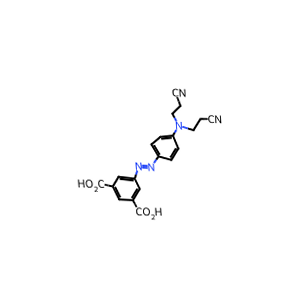 N#CCCN(CCC#N)c1ccc(N=Nc2cc(C(=O)O)cc(C(=O)O)c2)cc1